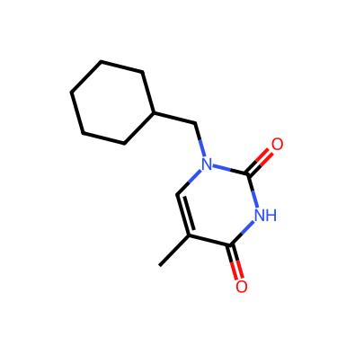 Cc1cn(CC2CCCCC2)c(=O)[nH]c1=O